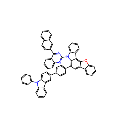 c1ccc(-n2c3ccccc3c3cc(-c4ccc(-c5cc6c7ccccc7oc6c6c7ccccc7n(-c7nc(-c8ccc9ccccc9c8)c8ccccc8n7)c56)cc4)ccc32)cc1